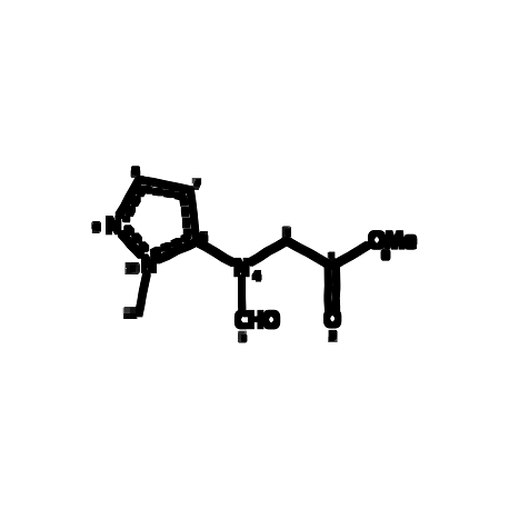 COC(=O)CN(C=O)c1ccnn1C